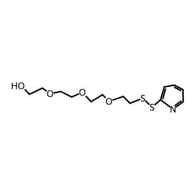 OCCOCCOCCOCCSSc1ccccn1